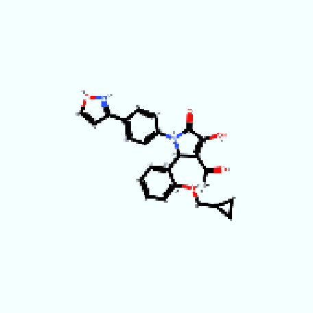 CC(C)C(=O)C1=C(O)C(=O)N(c2ccc(-c3ccon3)cc2)C1c1ccccc1OCC1CC1